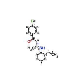 C=Cc1ccccc1N/C(C)=C/C(=O)c1ccc(F)cc1